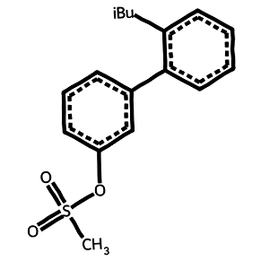 CCC(C)c1ccccc1-c1cccc(OS(C)(=O)=O)c1